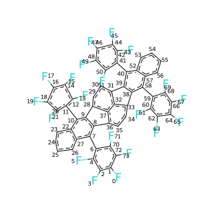 Fc1c(F)c(F)c(-c2c3c(c(-c4c(F)c(F)c(F)c(F)c4F)c4ccccc24)-c2ccc4c5c(ccc-3c25)-c2c-4c(-c3c(F)c(F)c(F)c(F)c3F)c3ccccc3c2-c2c(F)c(F)c(F)c(F)c2F)c(F)c1F